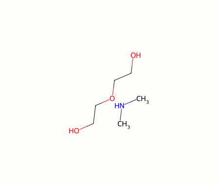 CNC.OCCOCCO